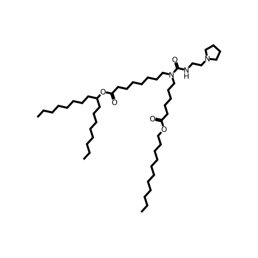 CCCCCCCCCCCOC(=O)CCCCCN(CCCCCCCC(=O)OC(CCCCCCCC)CCCCCCCC)C(=O)NCCN1CCCC1